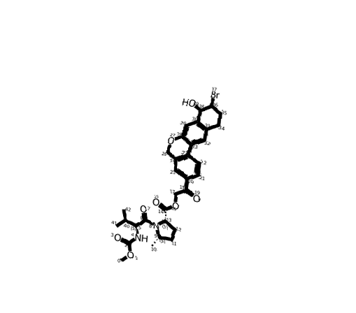 COC(=O)N[C@H](C(=O)N1[C@@H](C)CC[C@H]1C(=O)OCC(=O)c1ccc2c(c1)COc1cc3c(cc1-2)CCC(Br)C3O)C(C)C